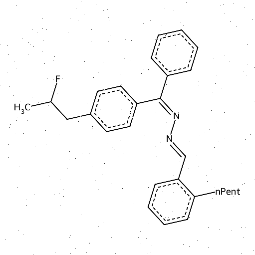 CCCCCc1ccccc1C=NN=C(c1ccccc1)c1ccc(CC(C)F)cc1